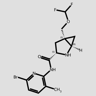 Cc1ccc(Br)nc1NC(=O)[C@@H]1C[C@@]2(COC(F)F)C[C@H]2N1